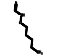 CCCCCONC=S